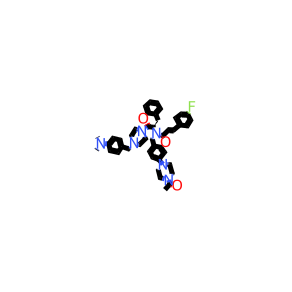 CC(=O)N1CCN(c2ccc(CN(C(=O)C=Cc3ccc(F)cc3)[C@@H](Cc3ccccc3)C(=O)N3CCN(Cc4ccc(N(C)C)cc4)CC3)cc2)CC1